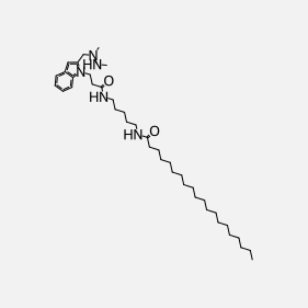 CCCCCCCCCCCCCCCCCCCC(=O)NCCCCCNC(=O)CCn1c(CN(C)NC)cc2ccccc21